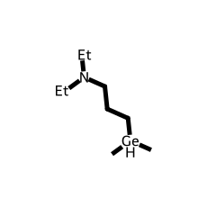 CCN(CC)CC[CH2][GeH]([CH3])[CH3]